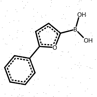 OB(O)c1ccc(-c2ccccc2)o1